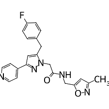 Cc1cc(CNC(=O)Cn2nc(-c3ccncc3)cc2Cc2ccc(F)cc2)on1